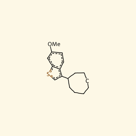 COc1ccc2c(C3CCCCCCC3)csc2c1